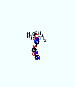 CN(C(=O)OC(C)(C)C)c1ccc(COc2ccc3oc(-c4cccnc4)nc3c2)cn1